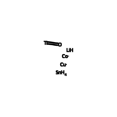 [Co].[Cu].[LiH].[O]=[Ti].[SnH4]